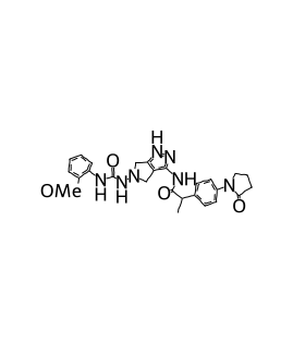 COc1ccccc1NC(=O)NN1Cc2[nH]nc(NC(=O)C(C)c3ccc(N4CCCC4=O)cc3)c2C1